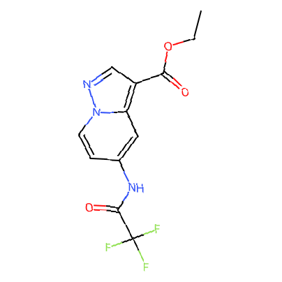 CCOC(=O)c1cnn2ccc(NC(=O)C(F)(F)F)cc12